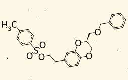 Cc1ccc(S(=O)(=O)OCCc2ccc3c(c2)O[C@@H](COCc2ccccc2)CO3)cc1